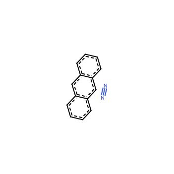 N#N.c1ccc2cc3ccccc3cc2c1